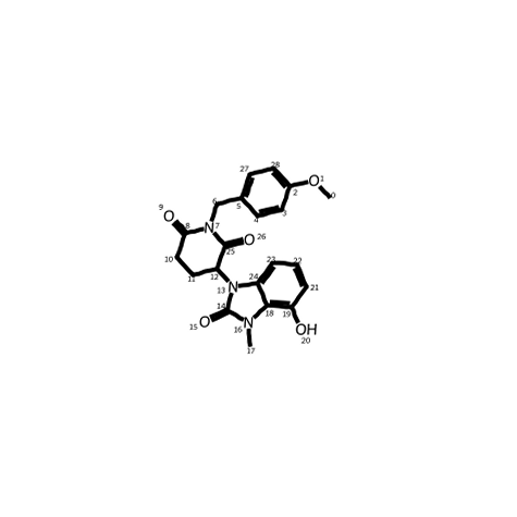 COc1ccc(CN2C(=O)CCC(n3c(=O)n(C)c4c(O)cccc43)C2=O)cc1